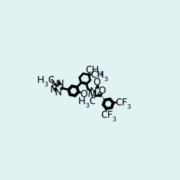 COc1ccc(-c2nnn(C)n2)cc1C1=C(CN2C(=O)O[C@H](c3cc(C(F)(F)F)cc(C(F)(F)F)c3)[C@@H]2C)CC(C)(C)CC1